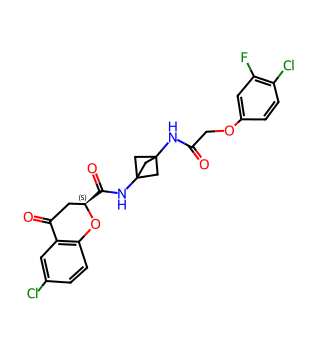 O=C(COc1ccc(Cl)c(F)c1)NC12CC(NC(=O)[C@@H]3CC(=O)c4cc(Cl)ccc4O3)(C1)C2